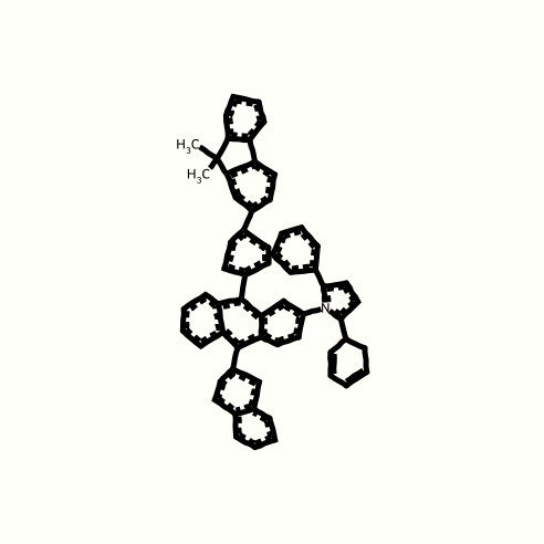 CC1(C)c2ccccc2-c2ccc(-c3ccc(-c4c5ccccc5c(-c5ccc6ccccc6c5)c5ccc(-n6c(-c7ccccc7)ccc6C6C=CC=CC6)cc45)cc3)cc21